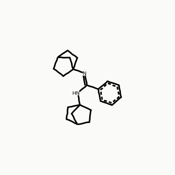 c1ccc(C(=NC23CCC(CC2)C3)NC23CCC(CC2)C3)cc1